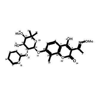 CON=C(C)c1c(O)c2ccc(O[C@@H]3OC(C)(C)[C@H](OC)[C@H](O)[C@H]3OC3CCCCO3)c(C)c2oc1=O